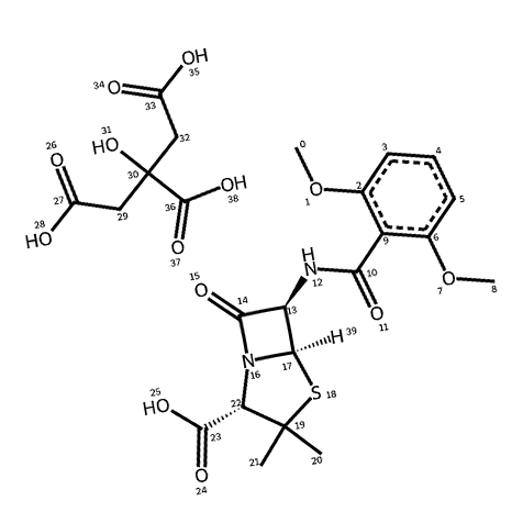 COc1cccc(OC)c1C(=O)N[C@@H]1C(=O)N2[C@@H]1SC(C)(C)[C@@H]2C(=O)O.O=C(O)CC(O)(CC(=O)O)C(=O)O